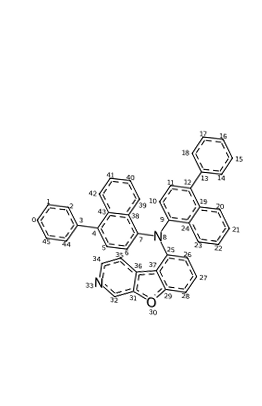 c1ccc(-c2ccc(N(c3ccc(-c4ccccc4)c4ccccc34)c3cccc4oc5cnccc5c34)c3ccccc23)cc1